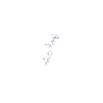 CC1C(CO)=NC(C(F)(F)F)=NC1C(=O)N1CCC(N2CC(CC#N)(n3cc(-c4ncnc5[nH]ccc45)cn3)C2)CC1